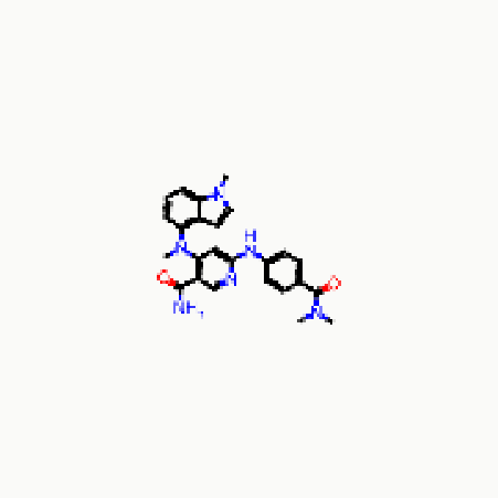 CN(C)C(=O)c1ccc(Nc2cc(N(C)c3cccc4c3ccn4C)c(C(N)=O)cn2)cc1